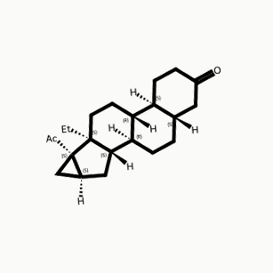 CC[C@]12CC[C@H]3[C@@H](CC[C@H]4CC(=O)CC[C@@H]43)[C@@H]1C[C@H]1C[C@]12C(C)=O